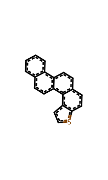 c1ccc2c(c1)ccc1c2ccc2ccc3sccc3c21